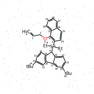 C=CCOc1c([Si](CC)(CC)C2c3ccc(C(C)(C)C)cc3-c3cc(C(C)(C)C)ccc32)ccc2ccccc12